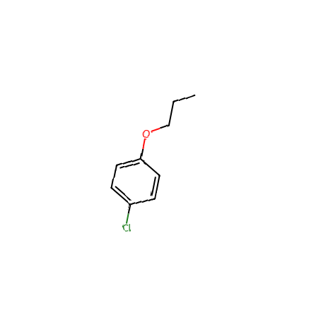 CCCOc1ccc(Cl)cc1